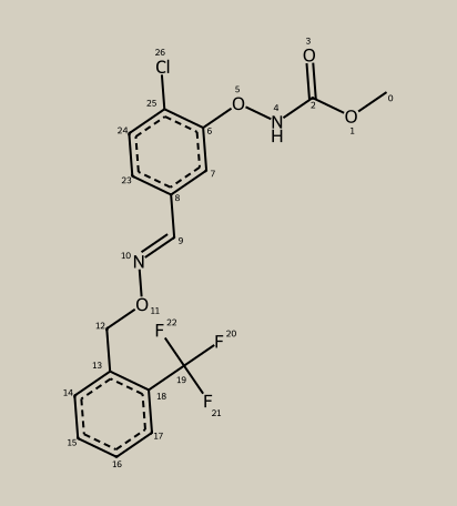 COC(=O)NOc1cc(/C=N/OCc2ccccc2C(F)(F)F)ccc1Cl